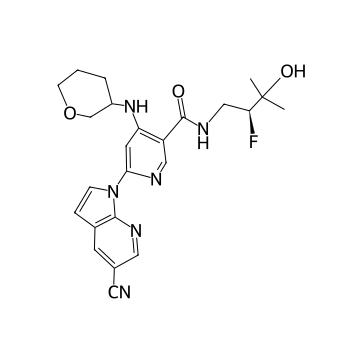 CC(C)(O)[C@@H](F)CNC(=O)c1cnc(-n2ccc3cc(C#N)cnc32)cc1NC1CCCOC1